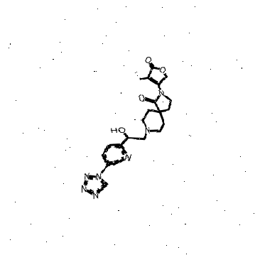 CC1=C(N2CCC3(CCN(CC(O)c4ccc(-n5cnnn5)cn4)CC3)C2=O)COC1=O